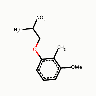 COc1cccc(OCC(C)[N+](=O)[O-])c1C